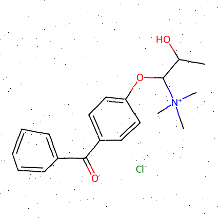 CC(O)C(Oc1ccc(C(=O)c2ccccc2)cc1)[N+](C)(C)C.[Cl-]